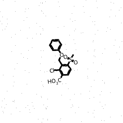 CS(=O)(=O)c1ccc(C(=O)O)c(Cl)c1COc1ccccc1